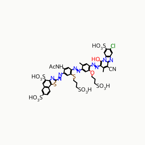 CC(=O)Nc1cc(N=Nc2cc(OCCCS(=O)(=O)O)c(N=Nc3c(C)c(C#N)c4nc5cc(Cl)c(S(=O)(=O)O)cc5n4c3O)cc2C)c(SCCCS(=O)(=O)O)cc1N=Nc1nc2c(S(=O)(=O)O)cc3cc(S(=O)(=O)O)ccc3c2s1